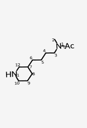 CC(=O)N(C)CCCCC1CCCNC1